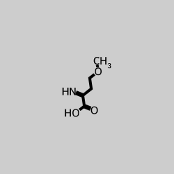 COCCC(=N)C(=O)O